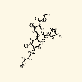 CCOC(=O)c1cn2c(cc1=O)-c1cc(Cl)c(OCCCOC)cc1OC2c1ncc(C)s1